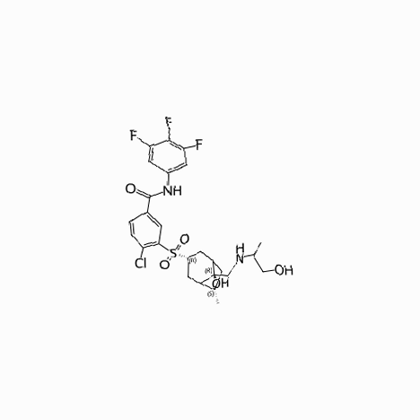 CC(CO)NC[C@@]1(O)C2C[C@@H](S(=O)(=O)c3cc(C(=O)Nc4cc(F)c(F)c(F)c4)ccc3Cl)CC1[C@@H](C)C2